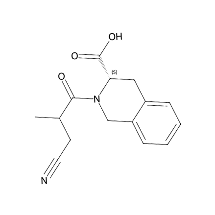 CC(CC#N)C(=O)N1Cc2ccccc2C[C@H]1C(=O)O